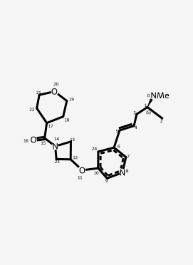 CN[C@@H](C)CC=Cc1cncc(OC2CN(C(=O)C3CCOCC3)C2)c1